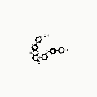 Cl.O=C1CCC(Nc2ccc(N3CCNCC3)nc2)C(=O)N1N1CCCC(Oc2ccc(C3CCNCC3)cc2)C1